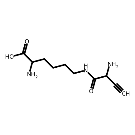 C#CC(N)C(=O)NCCCCC(N)C(=O)O